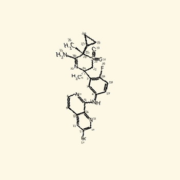 C[C@@]1(c2cc(Nc3nccc4cc(Br)cnc34)ccc2F)CS(=O)(=O)[C@@](C)(C2CC2)C(N)=N1